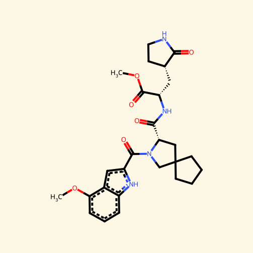 COC(=O)[C@H](C[C@@H]1CCNC1=O)NC(=O)[C@@H]1CC2(CCCC2)CN1C(=O)c1cc2c(OC)cccc2[nH]1